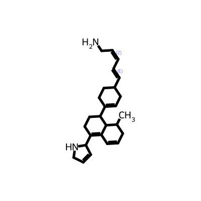 CC1CC=CC2=C(C3C=CCN3)CCC(C3=CCC(/C=C/C=C\CN)CC3)C21